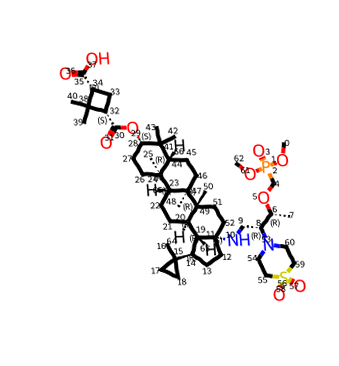 COP(=O)(CO[C@H](C)[C@@H](CN[C@]12CC[C@@H](C3(C)CC3)[C@@H]1[C@H]1CC[C@@H]3[C@@]4(C)CC[C@H](OC(=O)[C@H]5C[C@@H](C(=O)O)C5(C)C)C(C)(C)[C@@H]4CC[C@@]3(C)[C@]1(C)CC2)N1CCS(=O)(=O)CC1)OC